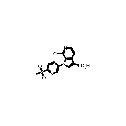 CS(=O)(=O)c1ccc(-n2cc(C(=O)O)c3ccnc(Cl)c32)cn1